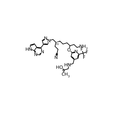 C[C@@H](O)CNCc1cc(OC(CCN)CCC[C@@H](CCC#N)Cn2cc(-c3ncnc4[nH]ccc34)cn2)nc(C(F)(F)F)c1